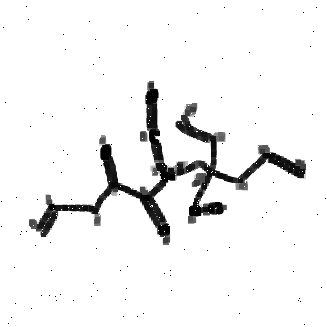 C=CCC(=O)C(=O)[N+](=C=O)C([C]=O)(C=C)CC=C